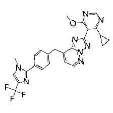 COc1ncnc(C2CC2)c1-c1nc2c(Cc3ccc(-c4nc(C(F)(F)F)cn4C)cc3)ccnn2n1